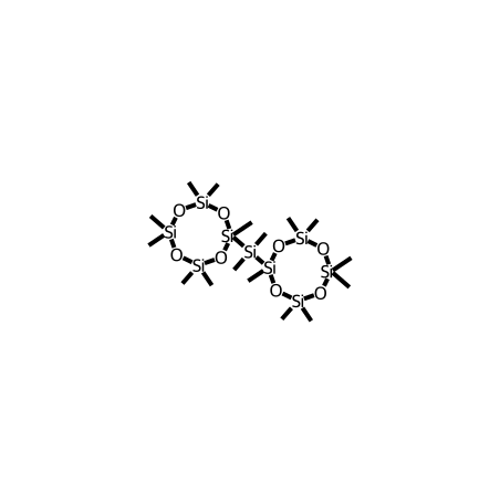 C[Si]1(C)O[Si](C)(C)O[Si](C)([Si](C)(C)[Si]2(C)O[Si](C)(C)O[Si](C)(C)O[Si](C)(C)O2)O[Si](C)(C)O1